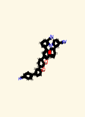 N#Cc1ccc(-c2ccc3c(c2)C2C=CC4c5cc(-c6cccc(C#N)c6-n6c7ccccc7c7cc(C#N)ccc76)ccc5OC4C2O3)cc1